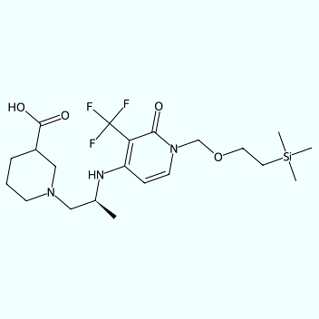 C[C@@H](CN1CCCC(C(=O)O)C1)Nc1ccn(COCC[Si](C)(C)C)c(=O)c1C(F)(F)F